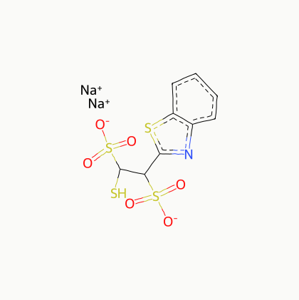 O=S(=O)([O-])C(S)C(c1nc2ccccc2s1)S(=O)(=O)[O-].[Na+].[Na+]